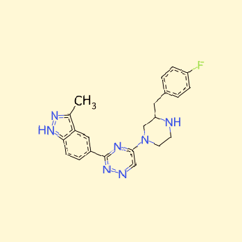 Cc1n[nH]c2ccc(-c3nncc(N4CCNC(Cc5ccc(F)cc5)C4)n3)cc12